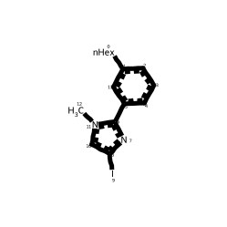 CCCCCCc1cccc(-c2nc(I)cn2C)c1